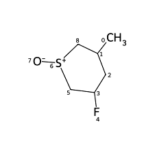 CC1CC(F)C[S+]([O-])C1